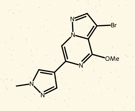 COc1nc(-c2cnn(C)c2)cn2ncc(Br)c12